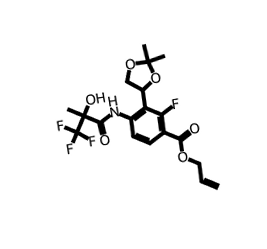 C=CCOC(=O)c1ccc(NC(=O)C(C)(O)C(F)(F)F)c(C2COC(C)(C)O2)c1F